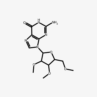 COCC1OC(n2cnc3c(=O)[nH]c(N)nc32)C(OC)C1OC